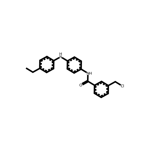 CCc1ccc(Nc2ccc(NC(=O)c3cccc(CCl)c3)cc2)cc1